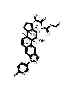 CC(C(=O)OC(=O)SCF)[C@H]1CC[C@H]2[C@@H]3C=CC4=Cc5c(cnn5-c5ccc(F)nc5)C[C@]4(C)[C@H]3[C@@H](O)C[C@]12C